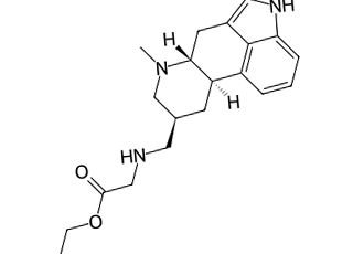 CCOC(=O)CNC[C@@H]1C[C@@H]2c3cccc4[nH]cc(c34)C[C@H]2N(C)C1